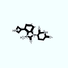 Cn1c(=O)n([C@@H]2CCC(=O)NC2=O)c2cccc(C3CNC3)c21